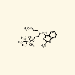 CCCC[C@@H](CCO[Si](C)(C)C(C)(C)C)Nc1nc(N)nc2ccccc12